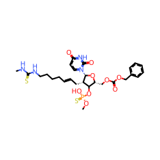 CNC(=S)NCCCC/C=C/C[C@H]1C(OP(O)(=S)OC)[C@@H](COC(=O)OCc2ccccc2)O[C@H]1n1ccc(=O)[nH]c1=O